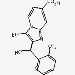 CCc1c(C(O)c2ncccc2C(F)(F)F)nc2cc(C(=O)O)ccn12